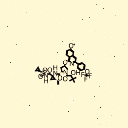 C=C[C@@H]1C[C@]1(NC(=O)[C@@H]1CC(Oc2nc(-c3ccc(OC(F)(F)F)cc3)cc3cc(OC)ccc23)CN1C(=O)[C@@H](O)C(C)(C)C)C(=O)NS(=O)(=O)C1CC1